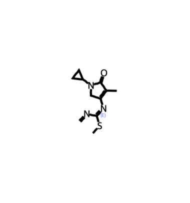 C=N/C(=N\C1=C(C)C(=O)N(C2CC2)C1)SC